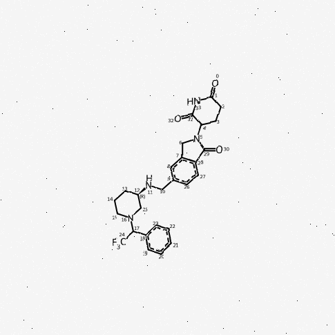 O=C1CCC(N2Cc3cc(CN[C@@H]4CCCN(C(c5ccccc5)C(F)(F)F)C4)ccc3C2=O)C(=O)N1